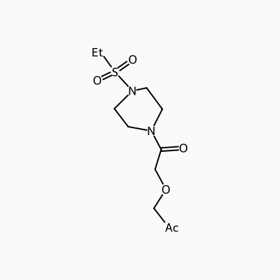 CCS(=O)(=O)N1CCN(C(=O)COCC(C)=O)CC1